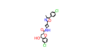 Cc1nc(C2=CC(NC(=O)[C@@H]3C[C@@H](O)c4cc(Cl)ccc4O3)C2)oc1-c1ccc(Cl)cc1